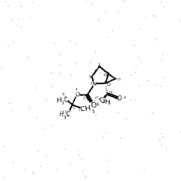 CC(C)(C)OC(=O)N1CCC2C[C@]21C(=O)O